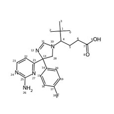 CC(C)(C)C(CCC(=O)O)N1C=NC(c2ccc(F)cc2)(c2ccnc(N)n2)C1